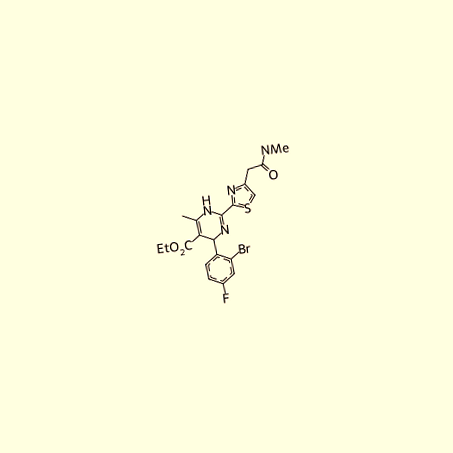 CCOC(=O)C1=C(C)NC(c2nc(CC(=O)NC)cs2)=NC1c1ccc(F)cc1Br